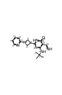 CC(C)(C)Nc1nc(C2CN(c3ccccn3)C2)[nH]c(=O)c1C=N